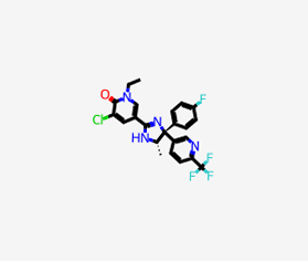 CCn1cc(C2=N[C@](c3ccc(F)cc3)(c3ccc(C(F)(F)F)nc3)[C@H](C)N2)cc(Cl)c1=O